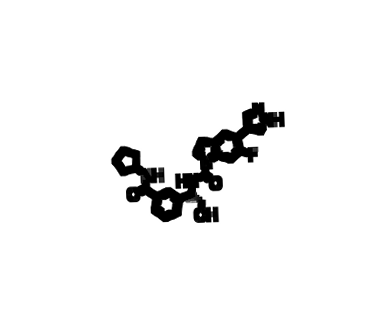 O=C(NC1CCCC1)c1cccc([C@@H](CO)NC(=O)n2ccc3cc(-c4cn[nH]c4)c(F)cc32)c1